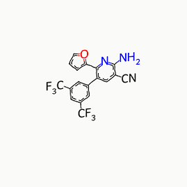 N#Cc1cc(-c2cc(C(F)(F)F)cc(C(F)(F)F)c2)c(-c2ccco2)nc1N